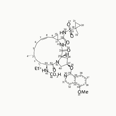 CC[C@@H]1C[C@H](C)CC/C=C\C2CC2(C(=O)NS(=O)(=O)C2(C)CC2)NC(=O)[C@@H]2C[C@@H](Oc3nccc4c(OC)cccc34)CN2C(=O)[C@H]1NC(=O)O